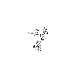 C=C(/C=C(\C=C/C)Nc1cc(NCC(C)CO)nc(-c2cccc(C(F)(F)F)n2)n1)C(C)(F)F